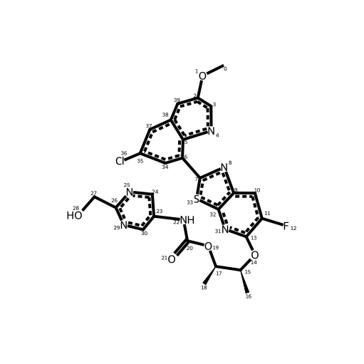 COc1cnc2c(-c3nc4cc(F)c(O[C@@H](C)[C@@H](C)OC(=O)Nc5cnc(CO)nc5)nc4s3)cc(Cl)cc2c1